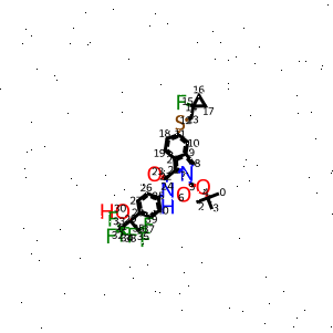 CC(C)(C)OC(=O)n1cc2cc(SCC3(F)CC3)ccc2c1C(=O)Nc1ccc(C(O)(C(F)(F)F)C(F)(F)F)cc1